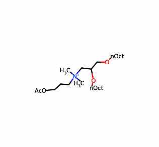 CCCCCCCCOCC(C[N+](C)(C)CCCOC(C)=O)OCCCCCCCC